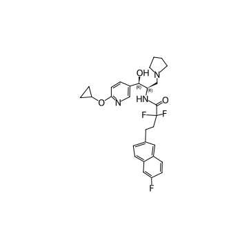 O=C(N[C@H](CN1CCCC1)[C@H](O)c1ccc(OC2CC2)nc1)C(F)(F)CCc1ccc2cc(F)ccc2c1